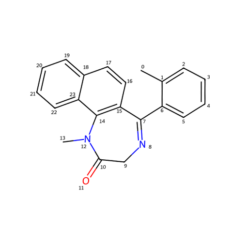 Cc1ccccc1C1=NCC(=O)N(C)c2c1ccc1ccccc21